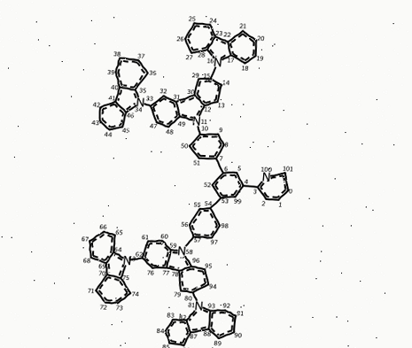 c1ccc(-c2cc(-c3ccc(-n4c5ccc(-n6c7ccccc7c7ccccc76)cc5c5cc(-n6c7ccccc7c7ccccc76)ccc54)cc3)cc(-c3ccc(-n4c5ccc(-n6c7ccccc7c7ccccc76)cc5c5cc(-n6c7ccccc7c7ccccc76)ccc54)cc3)c2)nc1